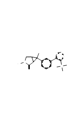 CCCCCCN1CC2C(C1=O)C2(C)c1cccc(-c2nn[nH]c2[Si](C)(C)C)c1